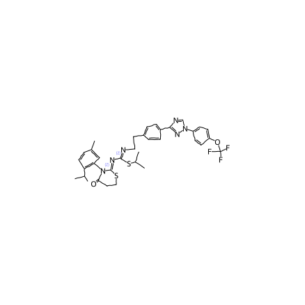 Cc1ccc(C(C)C)c(N2C(=O)CCS/C2=N\C(=N\CCc2ccc(-c3ncn(-c4ccc(OC(F)(F)F)cc4)n3)cc2)SC(C)C)c1